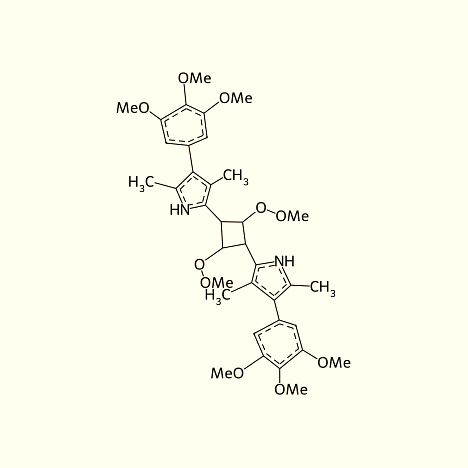 COOC1C(c2[nH]c(C)c(-c3cc(OC)c(OC)c(OC)c3)c2C)C(OOC)C1c1[nH]c(C)c(-c2cc(OC)c(OC)c(OC)c2)c1C